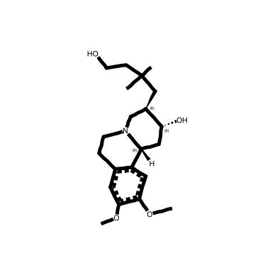 COc1cc2c(cc1OC)[C@H]1C[C@@H](O)[C@H](CC(C)(C)CCO)CN1CC2